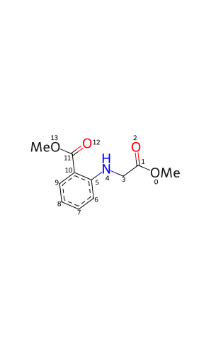 COC(=O)CNc1ccccc1C(=O)OC